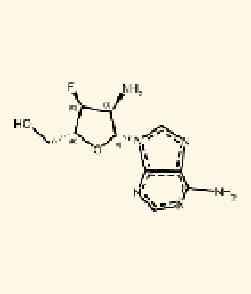 Nc1ncnc2c1ncn2[C@@H]1O[C@H](CO)[C@@H](F)[C@H]1N